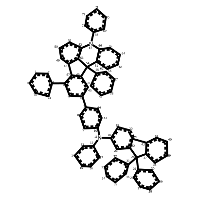 c1ccc(-c2cc(-c3ccc(N(c4ccccc4)c4ccc5c(c4)C(c4ccccc4)(c4ccccc4)c4ccccc4-5)cc3)cc3c2-c2cccc4c2C3(c2ccccc2)c2ccccc2N4c2ccccc2)cc1